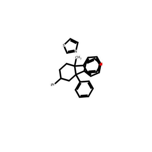 CC(C)C1CCC(C)(c2ccccc2)C(c2ccccc2)(c2ccccc2)C1.c1cscn1